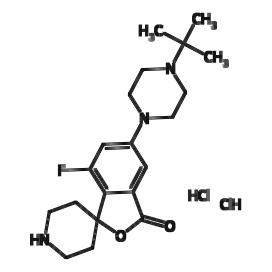 CC(C)(C)N1CCN(c2cc(F)c3c(c2)C(=O)OC32CCNCC2)CC1.Cl.Cl